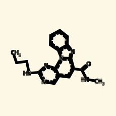 CCCNc1ncc2cc(C(=O)NC)c3nc4ccccc4n3c2n1